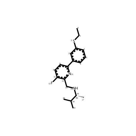 CCSc1cccc(-c2ccc(F)c(CN[C@H](C)C(C)C)n2)c1